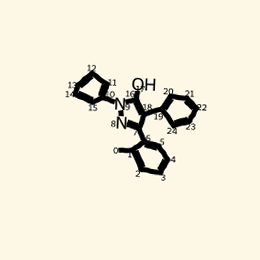 Cc1ccccc1-c1nn(-c2ccccc2)c(O)c1-c1ccccc1